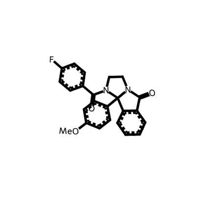 COc1ccc(C23c4ccccc4C(=O)N2CCN3C(=O)c2ccc(F)cc2)cc1